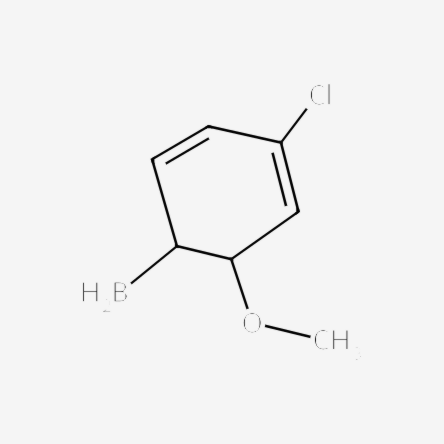 BC1C=CC(Cl)=CC1OC